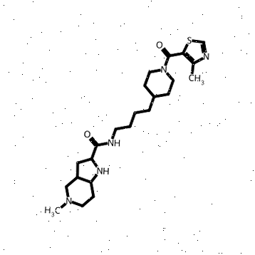 Cc1ncsc1C(=O)N1CCC(CCCCNC(=O)C2CC3CN(C)CCC3N2)CC1